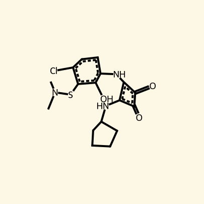 CN(C)Sc1c(Cl)ccc(Nc2c(NC3CCCC3)c(=O)c2=O)c1O